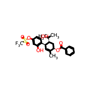 C=C(C)[C@@H]1C[C@H](OC(=O)c2ccccc2)C(C)=C[C@H]1c1c(O)cc(OS(=O)(=O)C(F)(F)F)cc1O